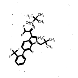 CC(C)(C)Cn1cc(/C(=N/[S@@+]([O-])C(C)(C)C)C(F)F)c2ccc(-c3ccccc3C(F)(F)F)c(F)c21